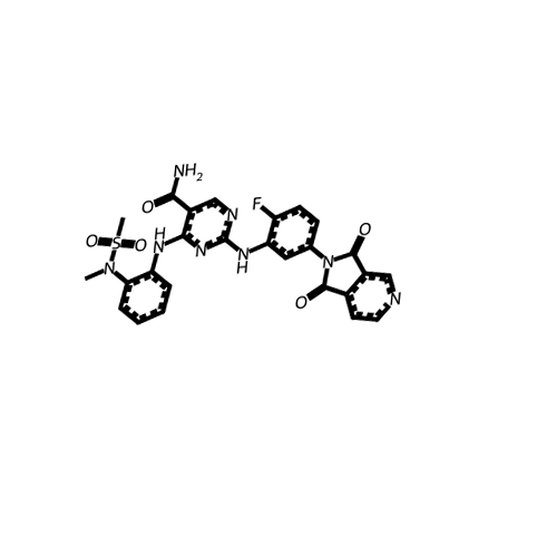 CN(c1ccccc1Nc1nc(Nc2cc(N3C(=O)c4ccncc4C3=O)ccc2F)ncc1C(N)=O)S(C)(=O)=O